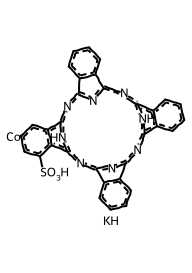 O=S(=O)(O)c1cccc2c3nc4nc(nc5[nH]c(nc6nc(nc([nH]3)c12)-c1ccccc1-6)c1ccccc51)-c1ccccc1-4.[Co].[KH]